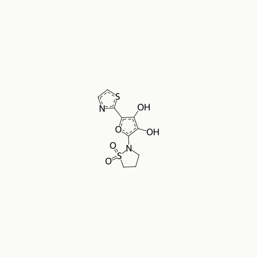 O=S1(=O)CCCN1c1oc(-c2nccs2)c(O)c1O